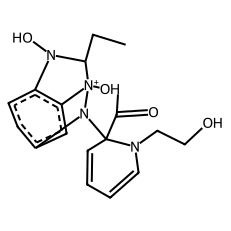 CCC1N(O)c2ccc3cc2[N+]1(O)N3C1(C(C)=O)C=CC=CN1CCO